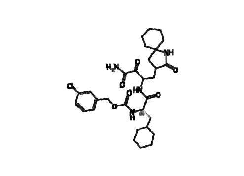 NC(=O)C(=O)C(CC1CC2(CCCCC2)NC1=O)NC(=O)[C@H](CC1CCCCC1)NC(=O)OCc1cccc(Cl)c1